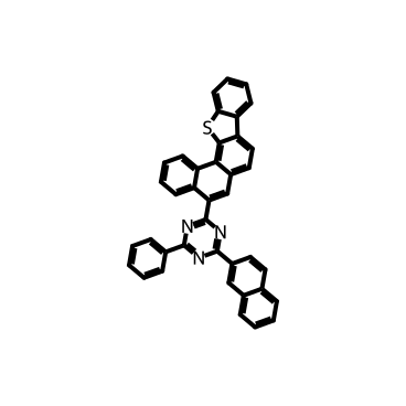 c1ccc(-c2nc(-c3ccc4ccccc4c3)nc(-c3cc4ccc5c6ccccc6sc5c4c4ccccc34)n2)cc1